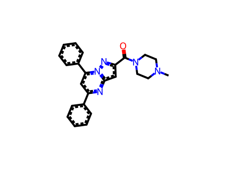 CN1CCN(C(=O)c2cc3nc(-c4ccccc4)cc(-c4ccccc4)n3n2)CC1